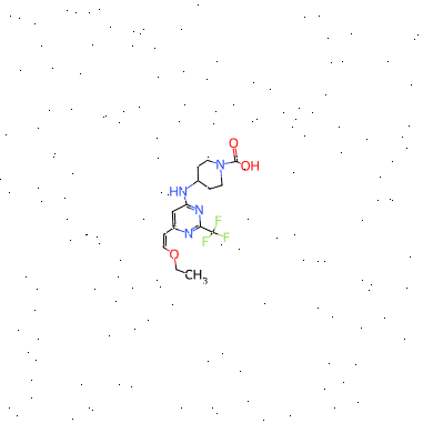 CCO/C=C\c1cc(NC2CCN(C(=O)O)CC2)nc(C(F)(F)F)n1